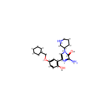 Nc1nc(-c2cc(OCC3CCCCC3)ccc2O)cn(C2CCCNC2)c1=O